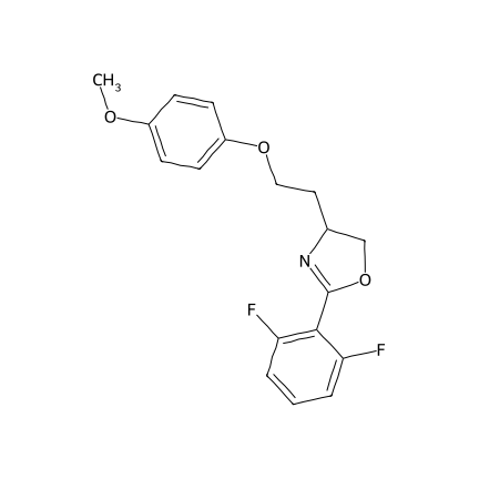 COc1ccc(OCCC2COC(c3c(F)cccc3F)=N2)cc1